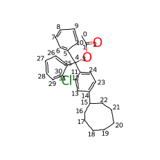 CC(=O)OC(c1ccccc1)(c1ccc(C2CCCCCCC2)cc1)c1ccccc1Cl